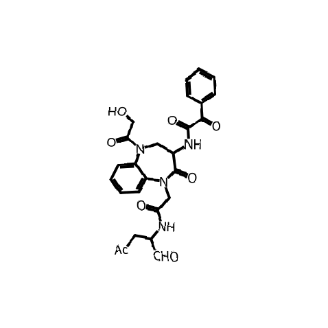 CC(=O)CC(C=O)NC(=O)CN1C(=O)C(NC(=O)C(=O)c2ccccc2)CN(C(=O)CO)c2ccccc21